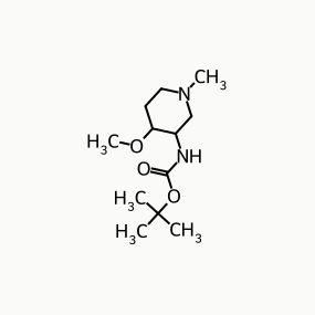 COC1CCN(C)CC1NC(=O)OC(C)(C)C